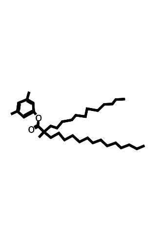 CCCCCCCCCCCCCCC(C)(CCCCCCCCCCCC)C(=O)Oc1cc(C)cc(C)c1